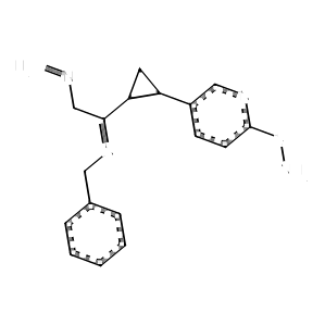 C=NC/C(=N\Cc1ccccc1)C1CC1c1ccc(SN)nc1